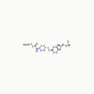 COCCC(=O)N[C@H]1CC[C@H](CCN2CCc3sc(OCC(F)F)nc3C2)CC1